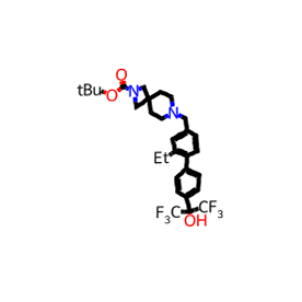 CCc1cc(CN2CCC3(CC2)CN(C(=O)OC(C)(C)C)C3)ccc1-c1ccc(C(O)(C(F)(F)F)C(F)(F)F)cc1